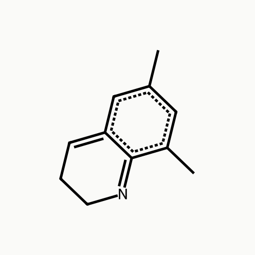 Cc1cc(C)c2c(c1)=CCCN=2